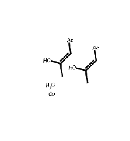 CC(=O)/C=C(/C)O.CC(=O)/C=C(/C)O.O.[Co]